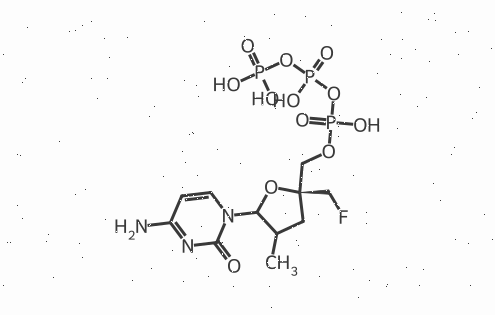 CC1C[C@@](CF)(COP(=O)(O)OP(=O)(O)OP(=O)(O)O)OC1n1ccc(N)nc1=O